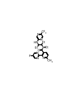 CCC(Nc1cnc(C(F)(F)F)cn1)C(CC)N(CC)C(=O)c1ccc(C)nc1-c1ncc(F)cn1